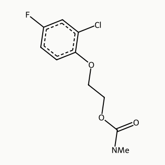 CNC(=O)OCCOc1ccc(F)cc1Cl